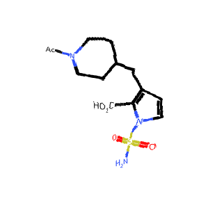 CC(=O)N1CCC(Cc2ccn(S(N)(=O)=O)c2C(=O)O)CC1